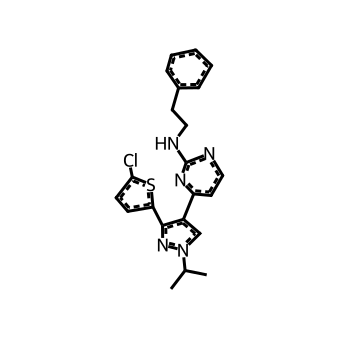 CC(C)n1cc(-c2ccnc(NCCc3ccccc3)n2)c(-c2ccc(Cl)s2)n1